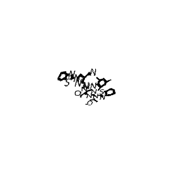 COCC(C)N(c1nc(Nc2c(C)cc(C)cc2C)c(N=Nc2nn(-c3nc4ccccc4s3)cc2C#N)c(C(C)=O)n1)c1nc2ccccc2s1